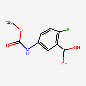 CC(C)(C)OC(=O)Nc1ccc(F)c(B(O)O)c1